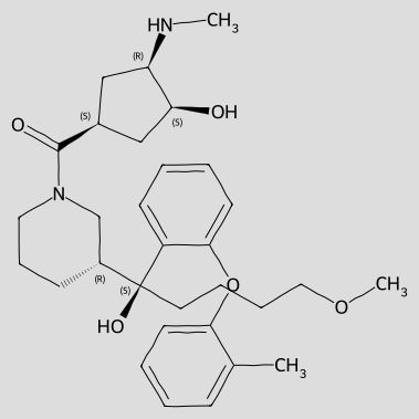 CN[C@@H]1C[C@H](C(=O)N2CCC[C@@H]([C@@](O)(CCCCOC)c3ccccc3Oc3ccccc3C)C2)C[C@@H]1O